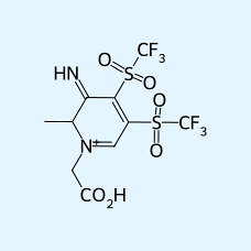 CC1C(=N)C(S(=O)(=O)C(F)(F)F)=C(S(=O)(=O)C(F)(F)F)C=[N+]1CC(=O)O